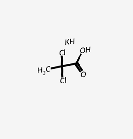 CC(Cl)(Cl)C(=O)O.[KH]